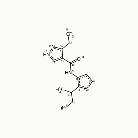 CC(C)CC(C)c1sccc1NC(=O)c1c[nH]nc1CC(F)(F)F